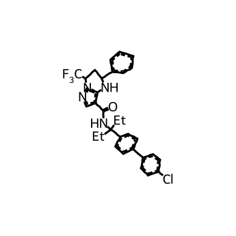 CCC(CC)(NC(=O)c1cnn2c1NC(c1ccccc1)CC2C(F)(F)F)c1ccc(-c2ccc(Cl)cc2)cc1